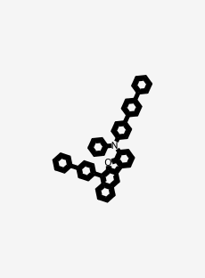 c1ccc(-c2ccc(-c3ccc(N(c4ccccc4)c4cccc5c4oc4c(-c6ccc(-c7ccccc7)cc6)c6ccccc6cc45)cc3)cc2)cc1